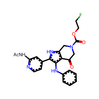 CC(=O)Nc1cc(-c2[nH]c3c(c2Nc2ccccc2)C(=O)CN(C(=O)OCCF)C3)ccn1